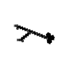 O=C(O)CCCCCCCOCC(COCCOCCOCCOCCOC(c1ccccc1)(c1ccccc1)c1ccccc1)OCCCCCCCC(=O)O